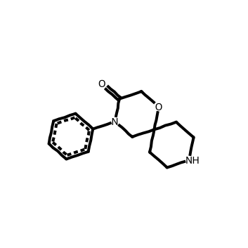 O=C1COC2(CCNCC2)CN1c1ccccc1